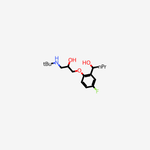 CCCC(O)c1cc(F)ccc1OCC(O)CNC(C)(C)C